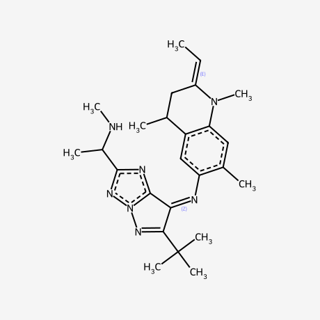 C/C=C1\CC(C)c2cc(/N=C3/C(C(C)(C)C)=Nn4nc(C(C)NC)nc43)c(C)cc2N1C